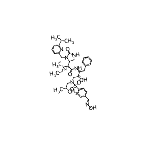 CC[C@H](C)[C@H](C(=O)N[C@@H](Cc1ccccc1)[C@H](O)CN(CC(C)C)S(=O)(=O)c1ccc(C=NO)cc1)C1CNC(=O)N1Cc1cccc(C(C)C)n1